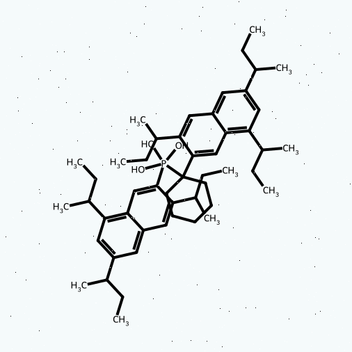 CCC(C)c1cc(C(C)CC)c2cc(C3(P(O)(O)(O)c4cc5c(C(C)CC)cc(C(C)CC)cc5cc4C(C)CC)CCCCC3)c(C(C)CC)cc2c1